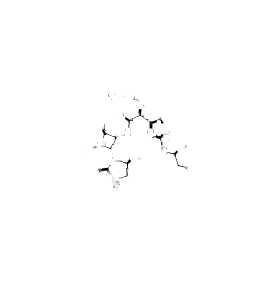 CO/N=C(\C(=O)N[C@@H]1C(=O)N(S(=O)(=O)O)[C@@H]1N1C(=O)CN(C)C1=O)c1csc(NC(=O)CCl)n1